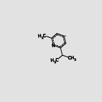 Cc1c[c]cc(C(C)C)n1